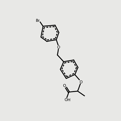 CC(Oc1ccc(COc2ccc(Br)cc2)cc1)C(=O)O